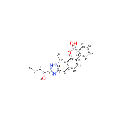 CCCC(=O)c1nc(Cc2ccc(-c3ccccc3C(=O)O)cc2)n(CC)n1